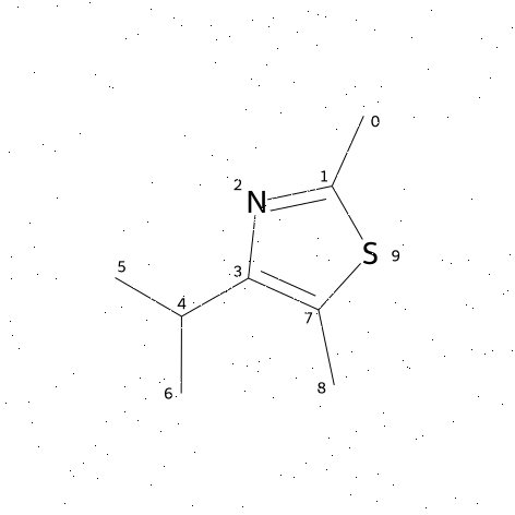 Cc1nc(C(C)C)c(C)s1